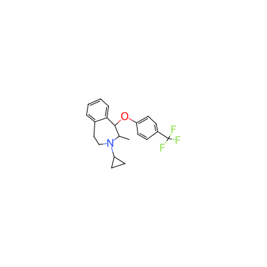 CC1C(Oc2ccc(C(F)(F)F)cc2)c2ccccc2CCN1C1CC1